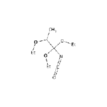 CCOC(C)C(N=C=O)(OCC)OCC